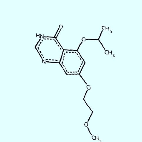 COCCOc1cc(OC(C)C)c2c(=O)[nH]cnc2c1